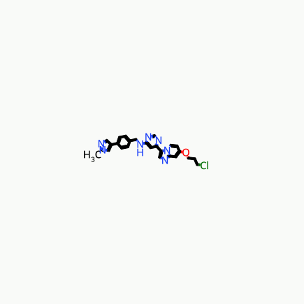 Cn1cc(-c2ccc(CNc3cc(-c4cnc5cc(OCCCCl)ccn45)ncn3)cc2)cn1